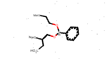 COCCO[SiH](OCC(CC(=O)O)OC)c1ccccc1